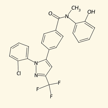 CN(C(=O)c1ccc(-c2cc(C(F)(F)F)nn2-c2ccccc2Cl)cc1)c1ccccc1O